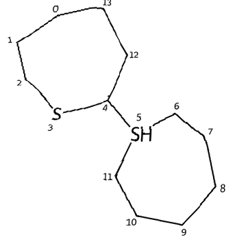 C1CCS[C]([SH]2CCCCCC2)CC1